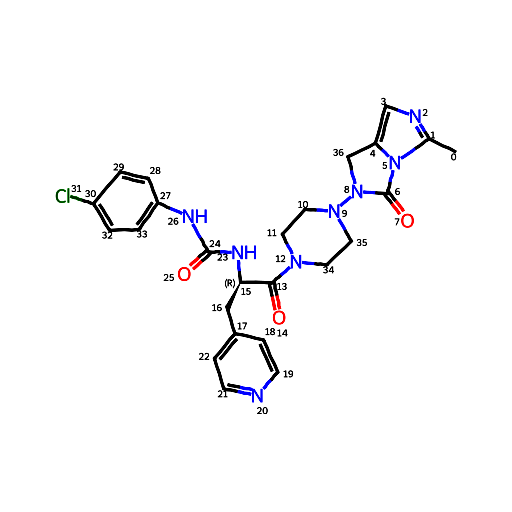 Cc1ncc2n1C(=O)N(N1CCN(C(=O)[C@@H](Cc3ccncc3)NC(=O)Nc3ccc(Cl)cc3)CC1)C2